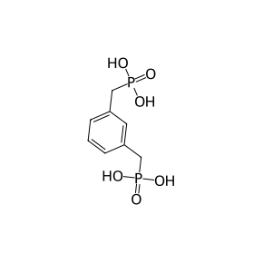 O=P(O)(O)Cc1cccc(CP(=O)(O)O)c1